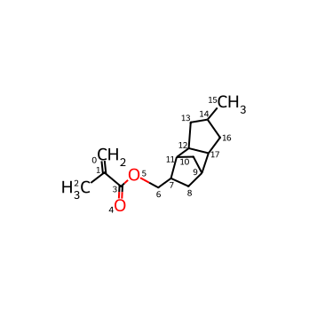 C=C(C)C(=O)OCC1CC2CC1C1CC(C)CC21